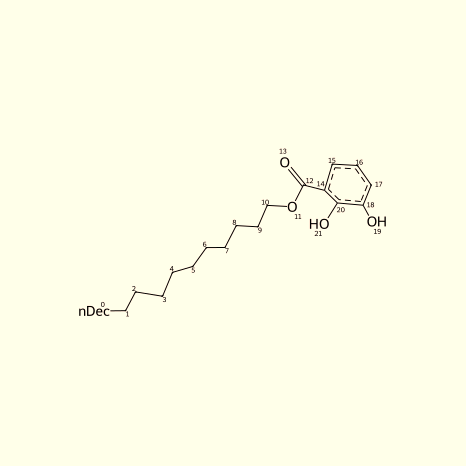 CCCCCCCCCCCCCCCCCCCCOC(=O)c1cccc(O)c1O